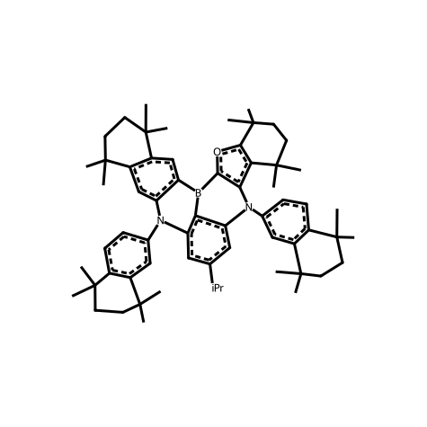 CC(C)c1cc2c3c(c1)N(c1ccc4c(c1)C(C)(C)CCC4(C)C)c1c(oc4c1C(C)(C)CCC4(C)C)B3c1cc3c(cc1N2c1ccc2c(c1)C(C)(C)CCC2(C)C)C(C)(C)CCC3(C)C